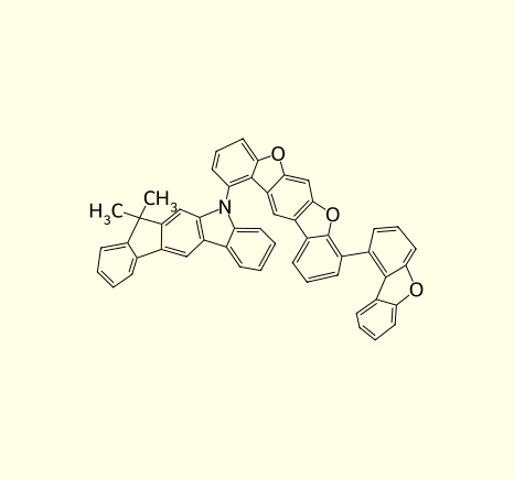 CC1(C)c2ccccc2-c2cc3c4ccccc4n(-c4cccc5oc6cc7oc8c(-c9cccc%10oc%11ccccc%11c9%10)cccc8c7cc6c45)c3cc21